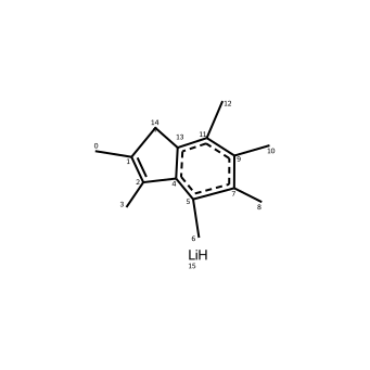 CC1=C(C)c2c(C)c(C)c(C)c(C)c2[CH]1.[LiH]